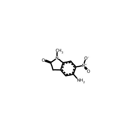 CN1C(=O)Cc2cc(N)c([N+](=O)[O-])cc21